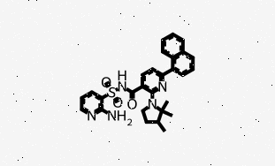 CC1CCN(c2nc(-c3cccc4ccccc34)ccc2C(=O)NS(=O)(=O)c2cccnc2N)C1(C)C